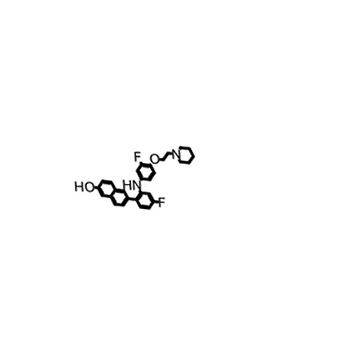 Oc1ccc2cc(-c3ccc(F)cc3Nc3ccc(OCCN4CCCCC4)c(F)c3)ccc2c1